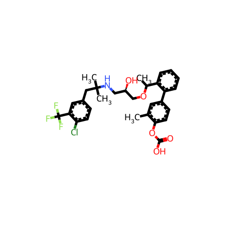 Cc1cc(-c2ccccc2C(C)OC[C@H](O)CNC(C)(C)Cc2ccc(Cl)c(C(F)(F)F)c2)ccc1OC(=O)O